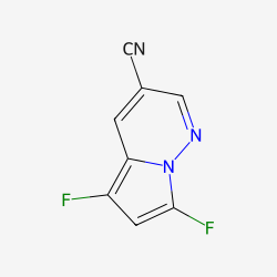 N#Cc1cnn2c(F)cc(F)c2c1